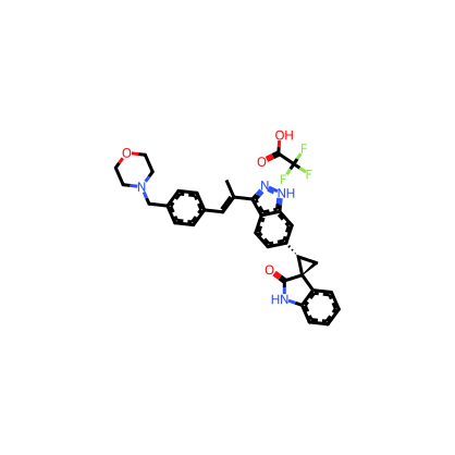 CC(=Cc1ccc(CN2CCOCC2)cc1)c1n[nH]c2cc([C@@H]3C[C@@]34C(=O)Nc3ccccc34)ccc12.O=C(O)C(F)(F)F